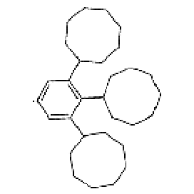 [c]1cc(C2CCCCCCC2)c(C2CCCCCCC2)c(C2CCCCCCC2)c1